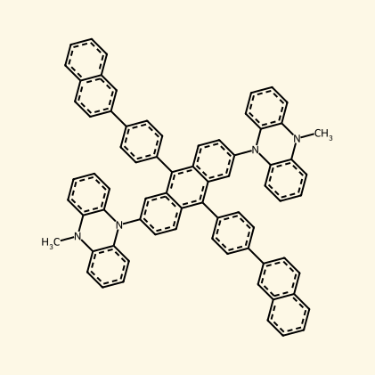 CN1c2ccccc2N(c2ccc3c(-c4ccc(-c5ccc6ccccc6c5)cc4)c4cc(N5c6ccccc6N(C)c6ccccc65)ccc4c(-c4ccc(-c5ccc6ccccc6c5)cc4)c3c2)c2ccccc21